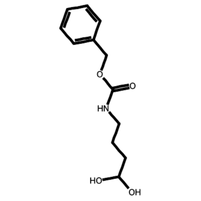 O=C(NCCCC(O)O)OCc1ccccc1